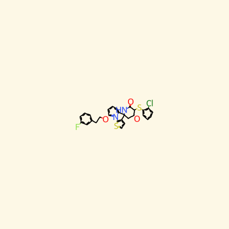 O=C1CC(c2ccsc2)(c2cccc(OCCc3cccc(F)c3)n2)NC(=O)C1Sc1ccccc1Cl